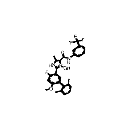 COc1cc(F)c(-c2[nH]c(C)c(C(=O)Nc3cccc(C(F)(F)F)c3)[n+]2O)cc1-c1c(C)cccc1C